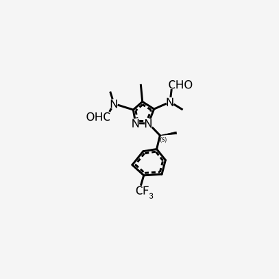 Cc1c(N(C)C=O)nn([C@@H](C)c2ccc(C(F)(F)F)cc2)c1N(C)C=O